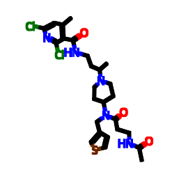 CC(=O)NCCC(=O)N(Cc1ccsc1)C1CCN(C(C)CCNC(=O)c2c(C)cc(Cl)nc2Cl)CC1